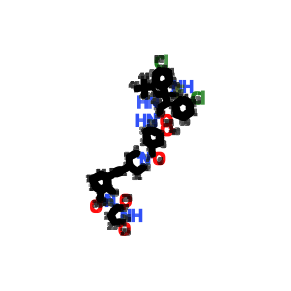 COc1cc(C(=O)N2CCC(C#Cc3cccc4c3CN(C3CCC(=O)NC3=O)C4=O)CC2)ccc1NC(=O)[C@@H]1N[C@@H](CC(C)(C)C)[C@@]2(CNc3cc(Cl)ccc32)[C@H]1c1cccc(Cl)c1F